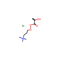 C=C(O)C(=O)OOCCC[N+](C)(C)C.[Br-]